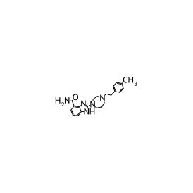 Cc1ccc(CCN2CCCN(c3nc4c(C(N)=O)cccc4[nH]3)CC2)cc1